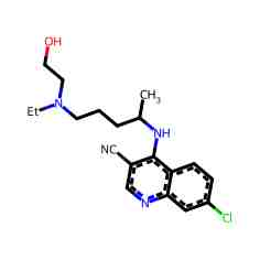 CCN(CCO)CCCC(C)Nc1c(C#N)cnc2cc(Cl)ccc12